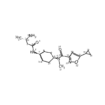 C[C@H](N)CC(=O)N[C@H]1CC[C@@H](N(C)C(=O)c2cc(C3CC3)on2)CC1